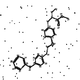 CCC(Cc1ccc(OCCc2ccc(Sc3ccccc3)cc2)cc1)C(=O)OC